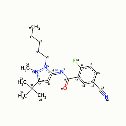 CCCCCn1/c(=N/C(=O)c2cc(C#N)ccc2F)cc(C(C)(C)C)n1C